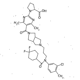 Cc1ccc(N(CCCN2CC3CN(C(=O)c4c(C)nc(N5CCCC5C(=O)O)nc4C)CC3C2)C(=O)C2CCC(F)(F)CC2)cc1Cl